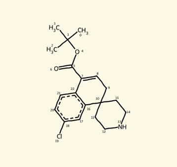 CC(C)(C)OC(=O)C1=CCC2(CCNCC2)c2cc(Cl)ccc21